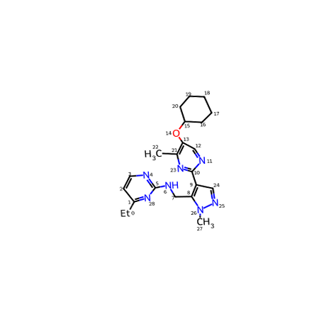 CCc1ccnc(NCc2c(-c3ncc(OC4CCCCC4)c(C)n3)cnn2C)n1